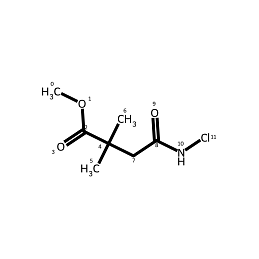 COC(=O)C(C)(C)CC(=O)NCl